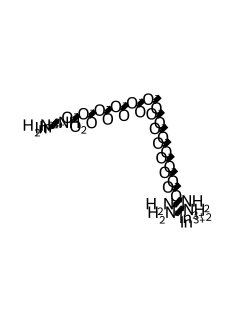 CC(=O)[O-].CC(=O)[O-].CC(=O)[O-].CC(=O)[O-].CC(=O)[O-].CC(=O)[O-].CC(=O)[O-].CC(=O)[O-].CC(=O)[O-].CC(=O)[O-].CC(=O)[O-].CC(=O)[O-].NCCN.NCCN.NCCN.[In+3].[In+3].[In+3].[In+3]